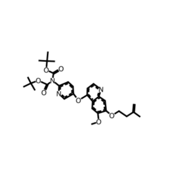 C=C(C)CCOc1cc2nccc(Oc3ccc(N(C(=O)OC(C)(C)C)C(=O)OC(C)(C)C)nc3)c2cc1OC